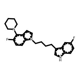 Fc1ccc2[nH]cc(CCCCn3ccc4c(N5CCCCC5)c(F)ccc43)c2c1